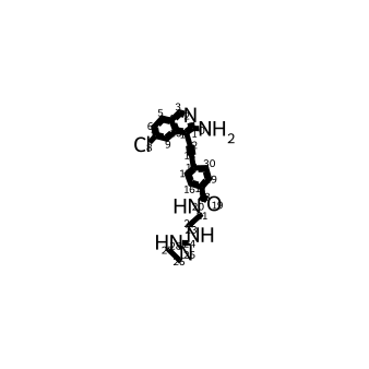 Nc1ncc2ccc(Cl)cc2c1C#Cc1ccc(C(=O)NCCNC2=NCCN2)cc1